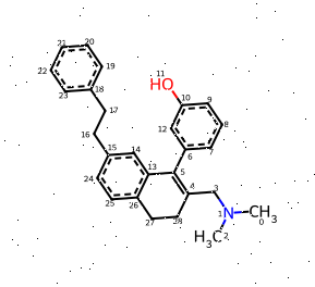 CN(C)CC1=C(c2cccc(O)c2)c2cc(CCc3ccccc3)ccc2CC1